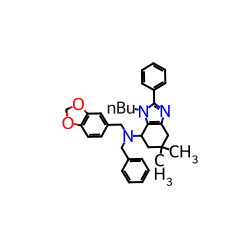 CCCCn1c(-c2ccccc2)nc2c1C(N(Cc1ccccc1)Cc1ccc3c(c1)OCO3)CC(C)(C)C2